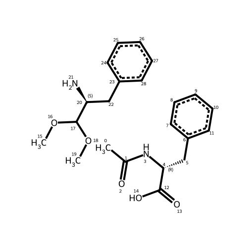 CC(=O)N[C@H](Cc1ccccc1)C(=O)O.COC(OC)[C@@H](N)Cc1ccccc1